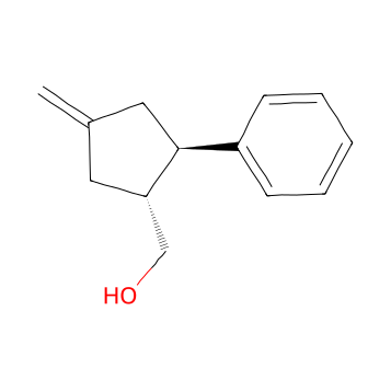 C=C1C[C@@H](CO)[C@H](c2ccccc2)C1